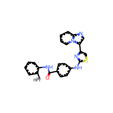 CCCc1ccccc1NC(=O)c1ccc(Nc2nc(-c3cnc4ccccn34)cs2)cc1